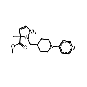 COC(=O)C1(C)C=CNN1CC1CCN(c2ccncc2)CC1